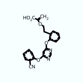 C=C(OCCc1ccccc1Oc1cc(Oc2ccccc2C#N)ncn1)C(=O)O